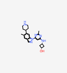 Cc1nc(N[C@H]2C[C@@H](O)C2)cc(-n2ncc3cc(C)c(C4CCNCC4)cc32)n1